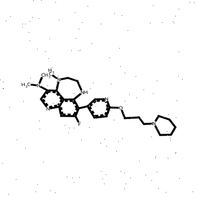 CN(C)c1cnc2cc(F)c(-c3ccc(OCCCN4CCCCC4)nc3)c3c2c1N(C)CCN3